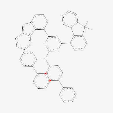 CC1(C)c2ccccc2-c2c(-c3nc(-c4cccc5sc6ccccc6c45)nc(N(c4ccc(-c5ccccc5)cc4)c4ccccc4-c4ccccc4)n3)cccc21